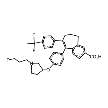 CC(F)(F)c1ccc(C2=C(c3ccc(OC4CCN(CCCF)C4)cc3)c3ccc(C(=O)O)cc3CCC2)cc1